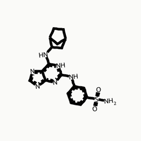 NS(=O)(=O)c1cccc(Nc2nc3ncnc-3c(NC3CC4CCC3C4)[nH]2)c1